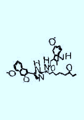 CCC(=O)CCCCC[C@H](NC(=O)Cc1c(C)[nH]c2ccc(OC)cc12)c1ncc(-c2cc3cccc(OC)c3cc2OC)[nH]1